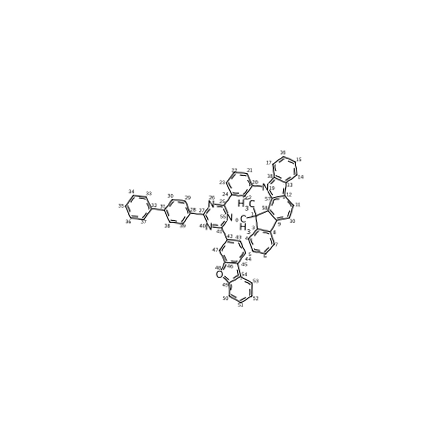 CC1(C)c2ccccc2-c2ccc3c4ccccc4n(-c4cccc(-c5nc(-c6ccc(-c7ccccc7)cc6)nc(-c6ccc7c(c6)oc6ccccc67)n5)c4)c3c21